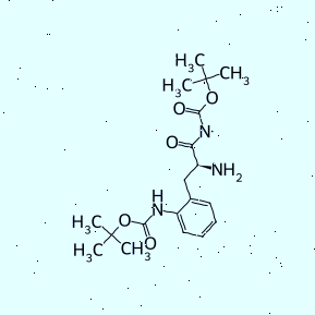 CC(C)(C)OC(=O)[N]C(=O)[C@@H](N)Cc1ccccc1NC(=O)OC(C)(C)C